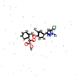 COC(=O)C(=O)c1ccccc1COc1ccc(-c2cc(Cl)n(C)n2)cc1C